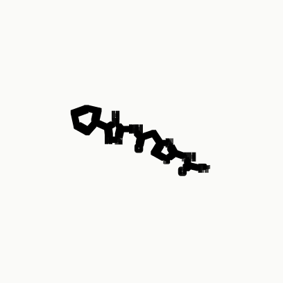 CC(C)C(=O)Nc1nc(CC(=O)Nc2nnc(-c3ccccc3)[nH]2)cs1